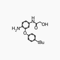 CC(C)(C)c1ccc(Oc2cc(NC(=O)CO)ccc2N)cc1